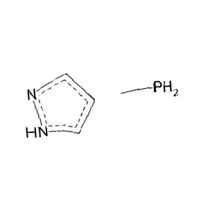 CP.c1cn[nH]c1